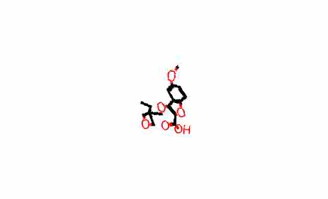 CCC1(COc2c(C(=O)O)oc3ccc(OC)cc23)COC1